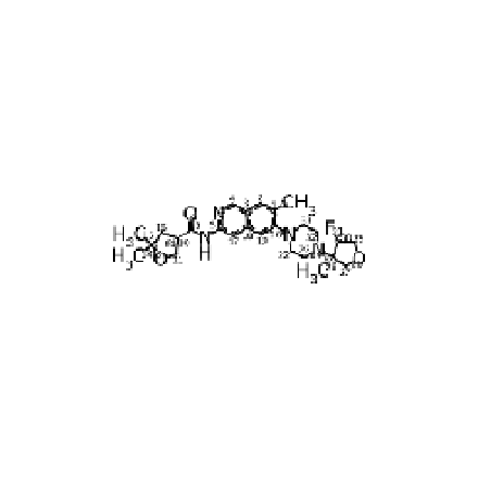 Cc1cc2cnc(NC(=O)[C@H]3COC(C)(C)C3)cc2cc1N1CCN([C@]2(C)COC[C@@H]2F)CC1